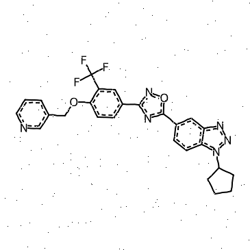 FC(F)(F)c1cc(-c2noc(-c3ccc4c(c3)nnn4C3CCCC3)n2)ccc1OCc1cccnc1